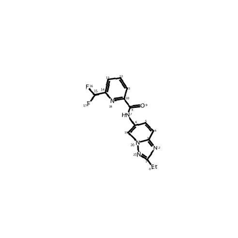 CCc1nc2ccc(NC(=O)c3cccc(C(F)F)n3)cn2n1